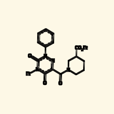 CCOC(=O)C1CCCN(C(=O)c2nn(-c3ccccc3)c(=O)n(CC)c2=O)C1